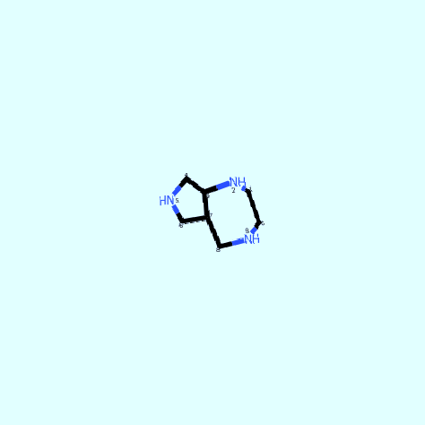 C1CNC2CNCC2CN1